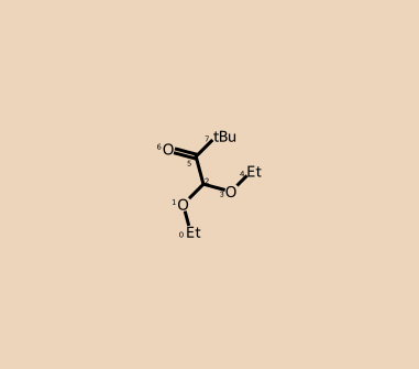 CCOC(OCC)C(=O)C(C)(C)C